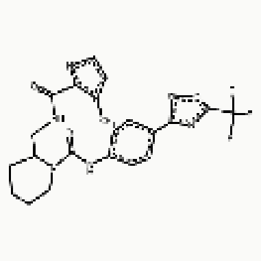 Cn1ccnc1C(=O)NCC1CCCCN1C(=O)Nc1ccc(-c2noc(C(F)(F)F)n2)cc1